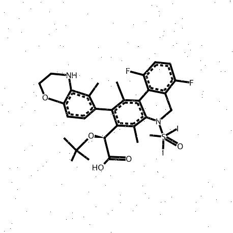 Cc1c(-c2c(C)c3c(c(C)c2[C@H](OC(C)(C)C)C(=O)O)N(S(C)(=O)(I)I)Cc2c(F)ccc(F)c2-3)ccc2c1NCCO2